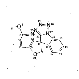 COc1ccc2c(n1)C1(CO2)c2ccccc2-n2nnnc21